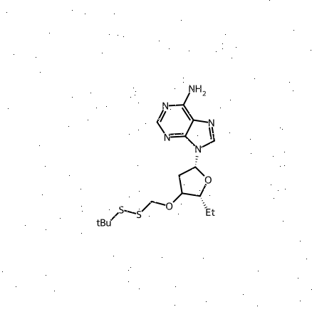 CC[C@H]1O[C@@H](n2cnc3c(N)ncnc32)CC1OCSSC(C)(C)C